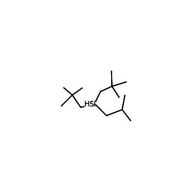 CC(C)C[SiH](CC(C)(C)C)CC(C)(C)C